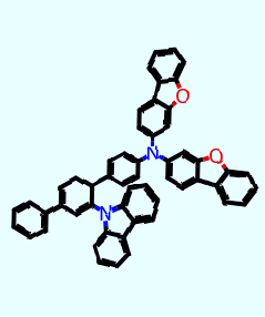 C1=C(c2ccccc2)C=C(n2c3ccccc3c3ccccc32)C(c2ccc(N(c3ccc4c(c3)oc3ccccc34)c3ccc4c(c3)oc3ccccc34)cc2)C1